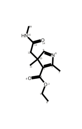 CCOC(=O)C1=C(C)N=CC1(C)CC(=O)NC